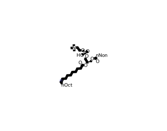 CCCCCCCC/C=C\CCCCCCCC(=O)O[C@H](COC(=O)CCCCCCCCC)COP(=O)(O)OCC[N+](C)(C)C